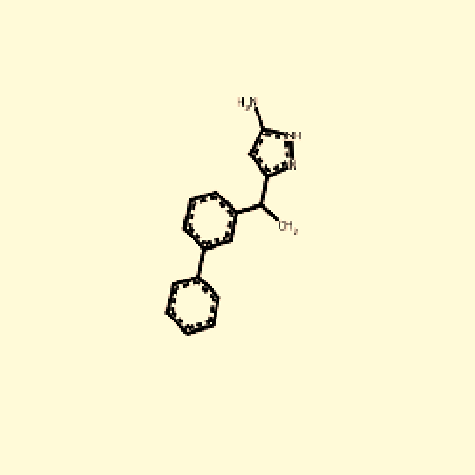 CC(c1cccc(-c2ccccc2)c1)c1cc(N)[nH]n1